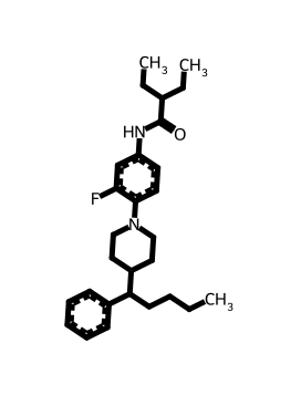 CCCCC(c1ccccc1)C1CCN(c2ccc(NC(=O)C(CC)CC)cc2F)CC1